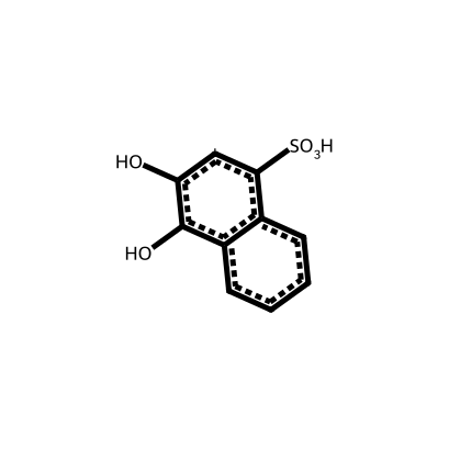 O=S(=O)(O)c1[c]c(O)c(O)c2ccccc12